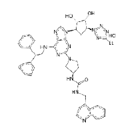 CCc1nnn([C@H]2C[C@@H](n3cnc4c(NCC(c5ccccc5)c5ccccc5)nc(N5CC[C@@H](NC(=O)NCc6ccnc7ccccc67)C5)nc43)[C@H](O)[C@@H]2O)n1.Cl